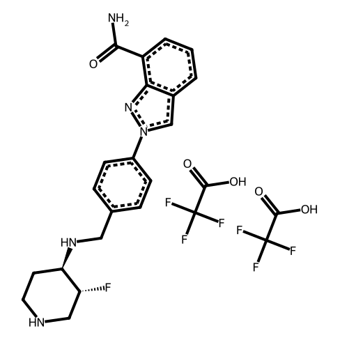 NC(=O)c1cccc2cn(-c3ccc(CN[C@@H]4CCNC[C@H]4F)cc3)nc12.O=C(O)C(F)(F)F.O=C(O)C(F)(F)F